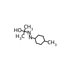 CC1CCC(N=NC(C)(C)O)CC1